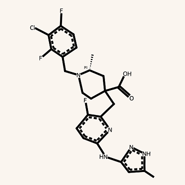 Cc1cc(Nc2ccc(F)c(CC3(C(=O)O)CCN(Cc4ccc(F)c(Cl)c4F)[C@H](C)C3)n2)n[nH]1